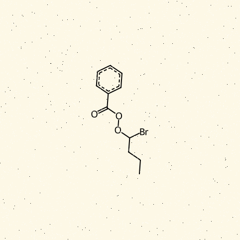 CCCC(Br)OOC(=O)c1ccccc1